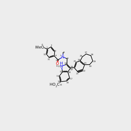 COc1ccc(C(=O)N(C)Cc2[nH]c3cc(C(=O)O)ccc3c2-c2c#cc3c(c2)CCCCC3)cc1